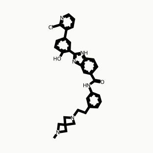 CN1CC2(C1)CN(CCc1cccc(NC(=O)c3ccc4[nH]c(-c5cc(-c6cccnc6Cl)ccc5O)nc4c3)c1)C2